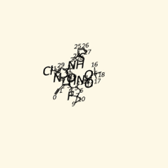 C#Cc1c(C[C@H](CC2(F)CC2)NC(=O)OC(C)(C)C)oc2c(NCc3cccs3)cc(Cl)nc12